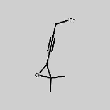 CC(C)CC#CC1OC1(C)C